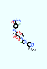 COc1cc(-n2cc(F)c(N3CCO[C@H]([C@@](C)(O)C(=O)Nc4cc(Cl)c5c(N)noc5c4)C3=O)n2)cnn1